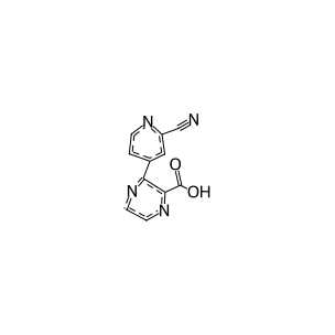 N#Cc1cc(-c2nccnc2C(=O)O)ccn1